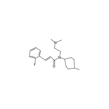 CC1CCC(N(CCN(C)C)C(=O)C=Cc2ccccc2F)CC1